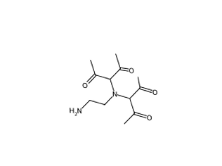 CC(=O)C(C(C)=O)N(CCN)C(C(C)=O)C(C)=O